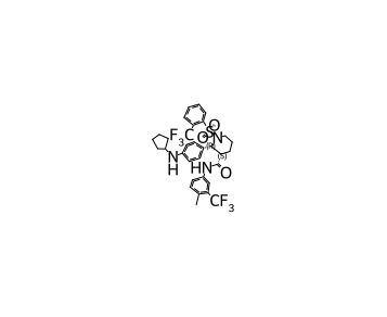 Cc1ccc(NC(=O)[C@H]2CCCN(S(=O)(=O)c3ccccc3C(F)(F)F)[C@H]2c2ccc(NC3CCCC3)cc2)cc1C(F)(F)F